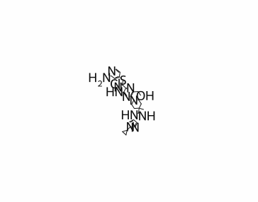 CC1(C(=N)Nc2cnn(C3CC3)c2)CCN(c2nc3[nH]nc(Sc4ccnc(N)c4Cl)c3nc2CO)CC1